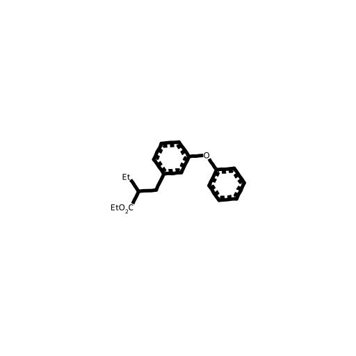 CCOC(=O)C(CC)Cc1cccc(Oc2ccccc2)c1